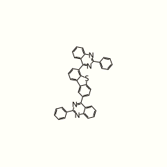 c1ccc(-c2nc(-c3ccc4sc5c(-c6nc(-c7ccccc7)nc7ccccc67)cccc5c4c3)c3ccccc3n2)cc1